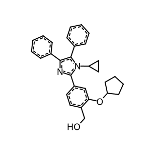 OCc1ccc(-c2nc(-c3ccccc3)c(-c3ccccc3)n2C2CC2)cc1OC1CCCC1